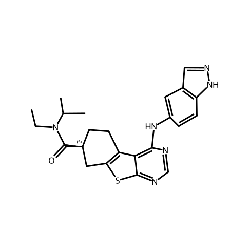 CCN(C(=O)[C@H]1CCc2c(sc3ncnc(Nc4ccc5[nH]ncc5c4)c23)C1)C(C)C